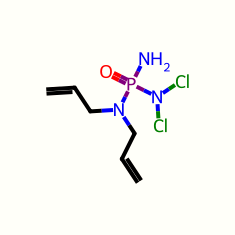 C=CCN(CC=C)P(N)(=O)N(Cl)Cl